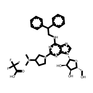 CN(C)C1CCN(c2nc(NCC(c3ccccc3)c3ccccc3)c3ncn([C@@H]4O[C@H](CO)[C@@H](O)[C@H]4O)c3n2)C1.O=C(O)C(F)(F)F